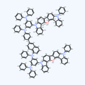 c1ccc(N(c2ccccc2)c2cc(N(c3ccccc3)c3ccc(-c4ccc5c(N(c6ccccc6)c6cc(N(c7ccccc7)c7ccccc7)cc(-n7c8ccccc8c8c9oc%10c(ccc%11c%10c%10ccccc%10n%11-c%10ccccc%10)c9ccc87)c6)cccc5c4)cc3)cc(-n3c4ccccc4c4c5oc6c(ccc7c6c6ccccc6n7-c6ccccc6)c5ccc43)c2)cc1